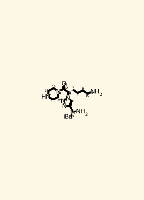 CC[C@H](C)[C@H](N)c1cn([C@@H](CCCCN)C(=O)N2CCNCC2)nn1